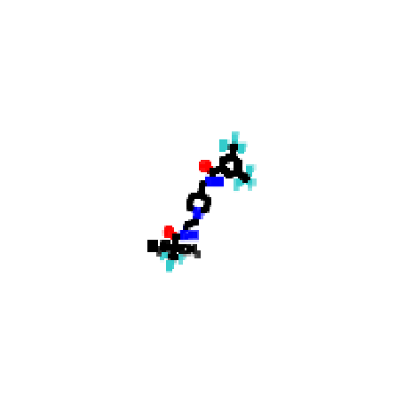 CC(C)(C(=O)NCCN1CCC(CNC(=O)c2cc(C(F)(F)F)cc(C(F)(F)F)c2)CC1)C(F)(F)F